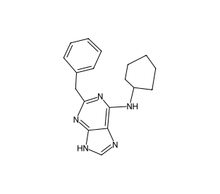 c1ccc(Cc2nc(NC3CCCCC3)c3nc[nH]c3n2)cc1